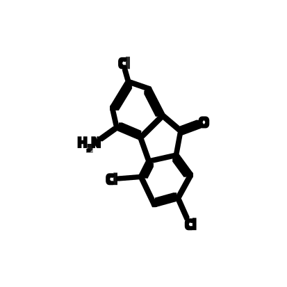 Nc1cc(Cl)cc2c1-c1c(Cl)cc(Cl)cc1C2=O